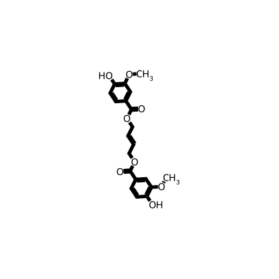 COc1cc(C(=O)OCC=CCOC(=O)c2ccc(O)c(OC)c2)ccc1O